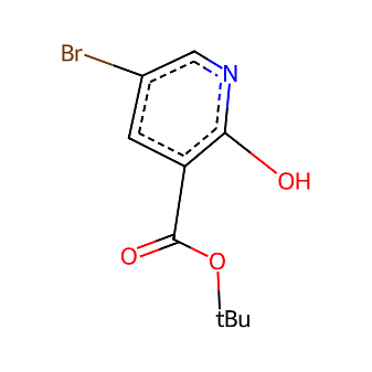 CC(C)(C)OC(=O)c1cc(Br)cnc1O